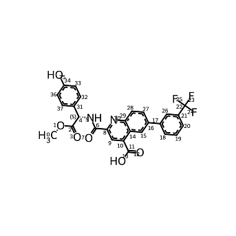 COC(=O)[C@@H](NC(=O)c1cc(C(=O)O)c2cc(-c3cccc(C(F)(F)F)c3)ccc2n1)c1ccc(O)cc1